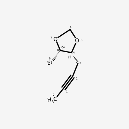 CC#CC[C@H]1OCO[C@H]1CC